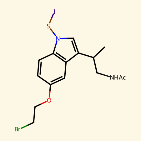 CC(=O)NCC(C)c1cn(SI)c2ccc(OCCBr)cc12